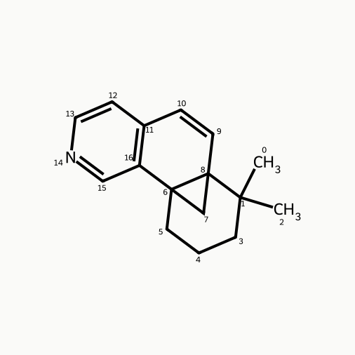 CC1(C)CCCC23CC12C=Cc1ccncc13